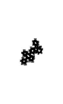 CC1CCCC2(C)c3cc(-c4c5ccccc5c(-c5ccccc5)c5ccccc45)ccc3N(c3ccccc3)C12C